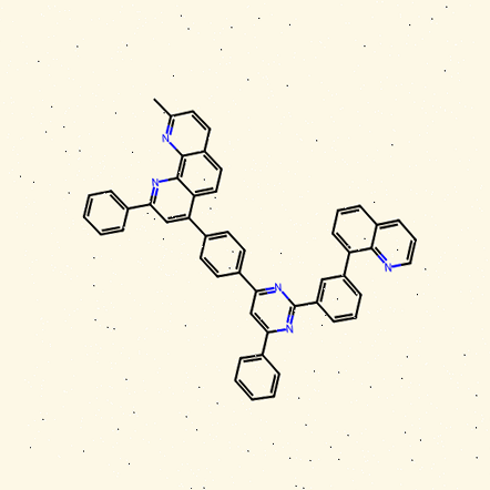 Cc1ccc2ccc3c(-c4ccc(-c5cc(-c6ccccc6)nc(-c6cccc(-c7cccc8cccnc78)c6)n5)cc4)cc(-c4ccccc4)nc3c2n1